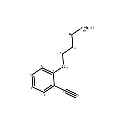 C#Cc1ccccc1OCCCCCCCCCC